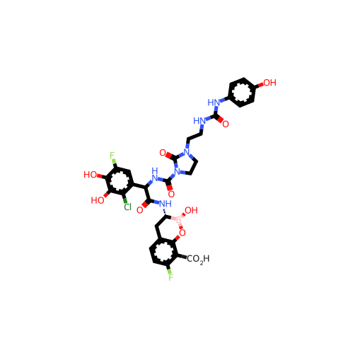 O=C(NCCN1CCN(C(=O)NC(C(=O)N[C@H]2Cc3ccc(F)c(C(=O)O)c3OB2O)c2cc(F)c(O)c(O)c2Cl)C1=O)Nc1ccc(O)cc1